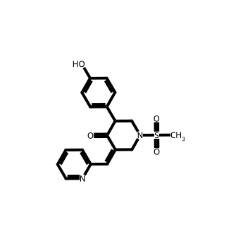 CS(=O)(=O)N1CC(=Cc2ccccn2)C(=O)C(c2ccc(O)cc2)C1